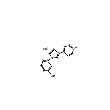 Br.Oc1cccc(-n2ccc(-c3ccncc3)c2)c1